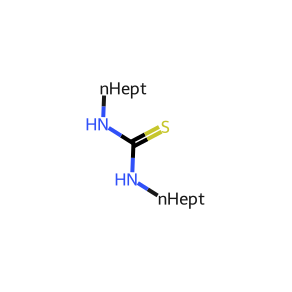 CCCCCCCNC(=S)NCCCCCCC